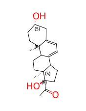 CC(=O)[C@@]1(O)CCC2C3=CC=C4C[C@@H](O)CC[C@]4(C)C3CC[C@@]21C